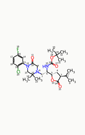 CC(C)[C@@H]1C[C@@H]([C@H](CN2CC(=O)N(c3cc(F)ccc3Cl)CC2(C)C)NC(=O)OC(C)(C)C)OC1=O